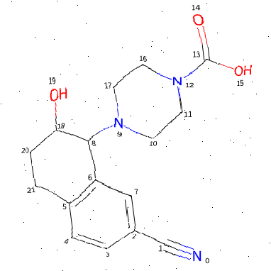 N#Cc1ccc2c(c1)C(N1CCN(C(=O)O)CC1)C(O)CC2